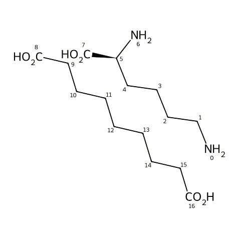 NCCCC[C@H](N)C(=O)O.O=C(O)CCCCCCCC(=O)O